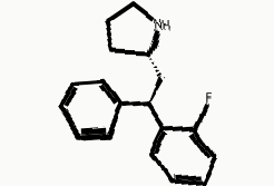 Fc1ccccc1[C@H]([CH][C@@H]1CCCN1)c1ccccc1